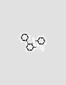 Nc1cccc(-c2ccccc2)c1Sc1ccccc1